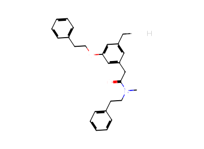 CN(CCc1ccccc1)C(=O)Cc1cc(CC(=O)O)cc(OCCc2ccccc2)c1